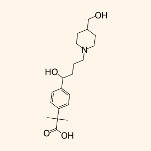 CC(C)(C(=O)O)c1ccc(C(O)CCCN2CCC(CO)CC2)cc1